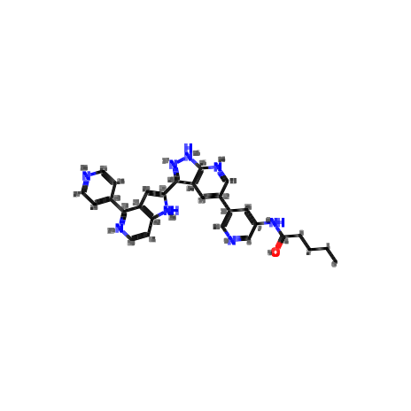 CCCCC(=O)Nc1cncc(-c2cnc3[nH]nc(-c4cc5c(-c6ccncc6)nccc5[nH]4)c3c2)c1